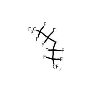 FC(F)(F)C(F)(F)C(F)(F)[C]C(F)(F)C(F)(F)C(F)(F)F